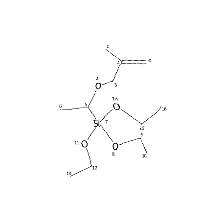 C=C(C)COC(C)[Si](OCC)(OCC)OCC